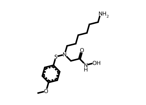 COc1ccc(SN(CCCCCCN)CC(=O)NO)cc1